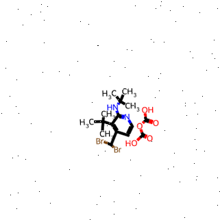 CC(C)(C)Nc1nccc(C(Br)Br)c1C(C)(C)C.O=C(O)OC(=O)O